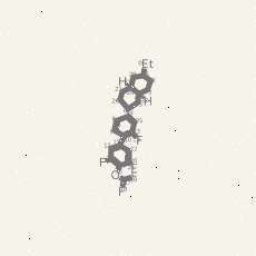 CCC1CC[C@@H]2C[C@H](c3ccc(-c4cc(F)c(OC(F)F)c(F)c4)c(F)c3)CC[C@@H]2C1